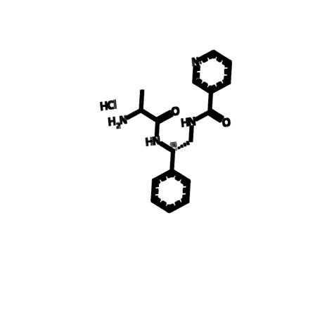 CC(N)C(=O)N[C@H](CNC(=O)c1cccnc1)c1ccccc1.Cl